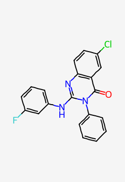 O=c1c2cc(Cl)ccc2nc(Nc2cccc(F)c2)n1-c1ccccc1